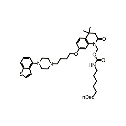 CCCCCCCCCCCCCCCNC(=O)OCN1C(=O)CC(C)(C)c2ccc(OCCCCN3CCN(c4cccc5sccc45)CC3)cc21